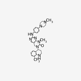 CN1CCN(c2ccc(Nc3ncc4c(n3)N(C)C(=O)N(C3CCNc5c3cccc5C(F)(F)F)C4)cc2)CC1